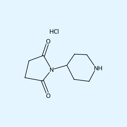 Cl.O=C1CCC(=O)N1C1CCNCC1